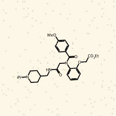 CCOC(=O)COc1ccccc1N(CC(=O)NCC1CCN(C(C)C)CC1)C(=O)c1ccc(OC)cc1